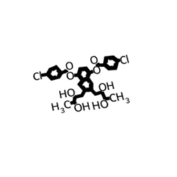 CC(O)C(O)Cc1cc2c(OC(=O)c3ccc(Cl)cc3)ccc(OC(=O)c3ccc(Cl)cc3)c2cc1CC(O)C(C)O